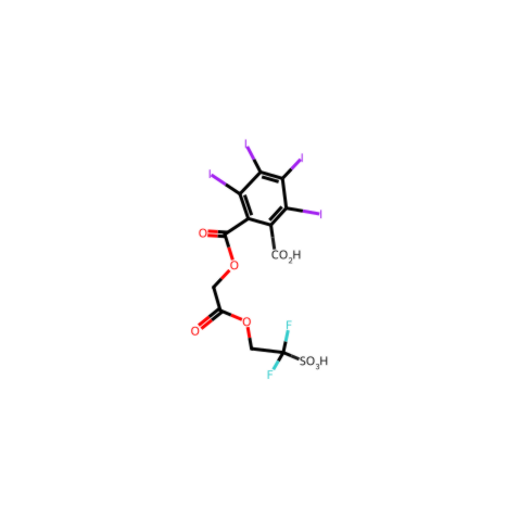 O=C(COC(=O)c1c(I)c(I)c(I)c(I)c1C(=O)O)OCC(F)(F)S(=O)(=O)O